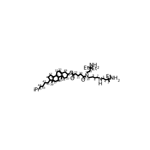 CCC(C)(N)CCNCCCCN(CCC(N)(CC)CC)C(=O)CCCC(=O)OC1CCC2(C)C(=CCC3C2CCC2(C)C(CCCCC(C)C)CCC32)C1